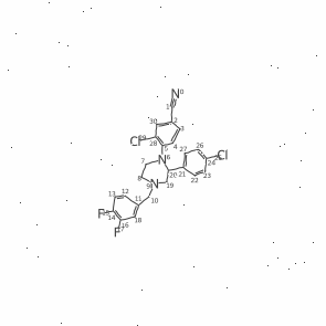 N#Cc1ccc(N2CCN(Cc3ccc(F)c(F)c3)CC2c2ccc(Cl)cc2)c(Cl)c1